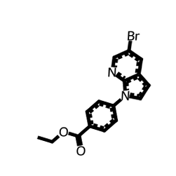 CCOC(=O)c1ccc(-n2ccc3cc(Br)cnc32)cc1